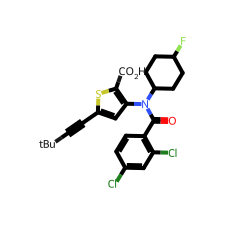 CC(C)(C)C#Cc1cc(N(C(=O)c2ccc(Cl)cc2Cl)C2CCC(F)CC2)c(C(=O)O)s1